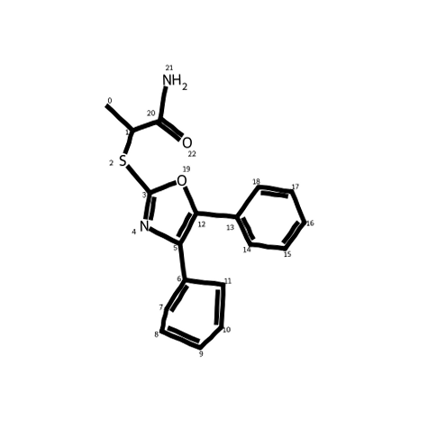 CC(Sc1nc(-c2ccccc2)c(-c2ccccc2)o1)C(N)=O